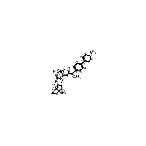 C=C(N/C(=C/C(Cl)=C(\C)c1ccc(-c2ccc(C)cc2)cc1)C(=C)C)O[C@@H]1CC[C@]2(N)CCO[C@H]12